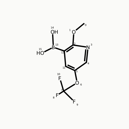 COc1ncc(OC(F)(F)F)cc1B(O)O